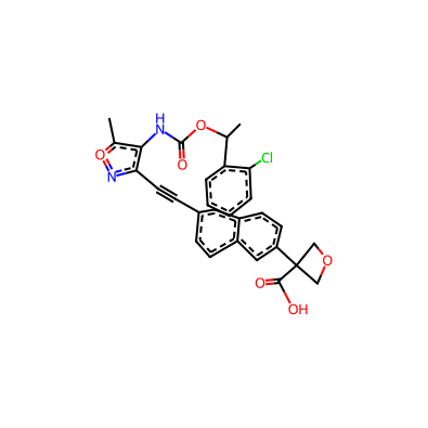 Cc1onc(C#Cc2ccc3cc(C4(C(=O)O)COC4)ccc3c2)c1NC(=O)OC(C)c1ccccc1Cl